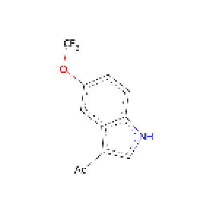 CC(=O)c1c[nH]c2ccc(OC(F)(F)F)cc12